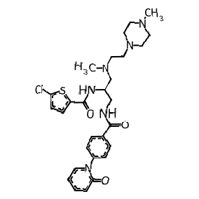 CN1CCN(CCN(C)CC(CNC(=O)c2ccc(-n3ccccc3=O)cc2)NC(=O)c2ccc(Cl)s2)CC1